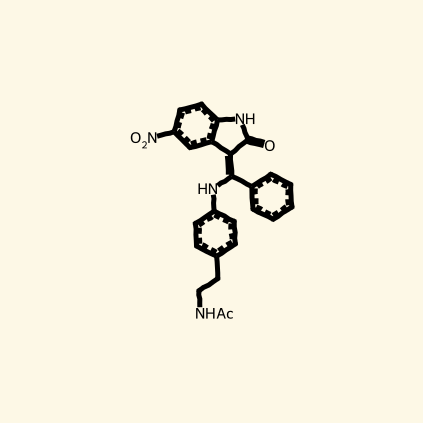 CC(=O)NCCc1ccc(NC(=C2C(=O)Nc3ccc([N+](=O)[O-])cc32)c2ccccc2)cc1